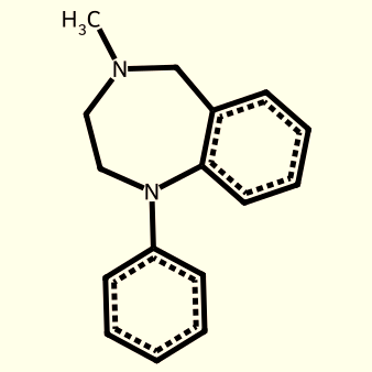 CN1CCN(c2ccccc2)c2ccccc2C1